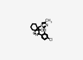 Cc1cn(CC2(O)C(c3ccc(Cl)cc3F)=NOC23CCCCC3)cn1